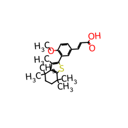 COc1ccc(/C=C/C(=O)O)cc1-c1sc2c(c1C)C(C)(C)CCC2(C)C